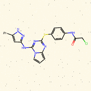 CC(C)c1cc(Nc2nc(Sc3ccc(NC(=O)CCl)cc3)nc3cccn23)n[nH]1